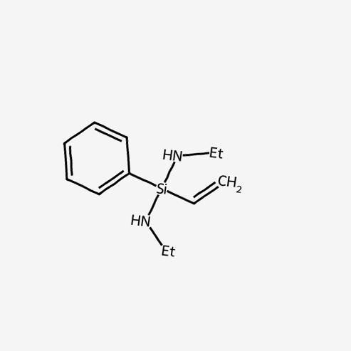 C=C[Si](NCC)(NCC)c1ccccc1